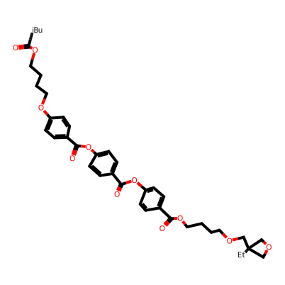 CCC(C)C(=O)OCCCCOc1ccc(C(=O)Oc2ccc(C(=O)Oc3ccc(C(=O)OCCCCOCC4(CC)COC4)cc3)cc2)cc1